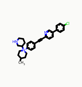 CC1CC[N+](c2ccc(C#Cc3ccc(-c4ccc(Cl)cc4)cn3)cc2)(C2CCCNC2)CC1